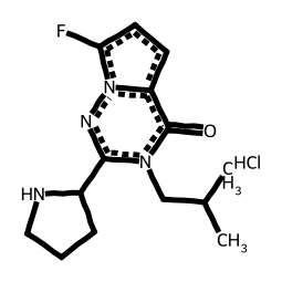 CC(C)Cn1c(C2CCCN2)nn2c(F)ccc2c1=O.Cl